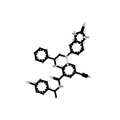 CC(NC(=O)c1cc(C#N)cnc1NC(COc1ccc2[nH]c(=O)[nH]c2c1)c1ccccc1)c1ccc(F)cc1